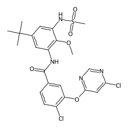 COc1c(NC(=O)c2ccc(Cl)c(Oc3cc(Cl)ncn3)c2)cc(C(C)(C)C)cc1NS(C)(=O)=O